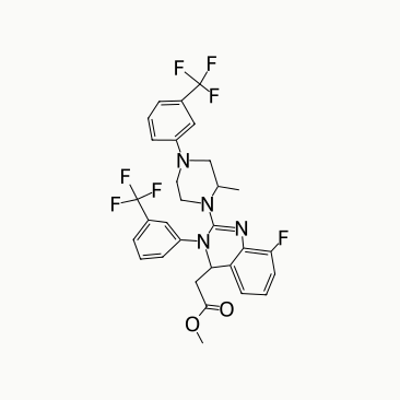 COC(=O)CC1c2cccc(F)c2N=C(N2CCN(c3cccc(C(F)(F)F)c3)CC2C)N1c1cccc(C(F)(F)F)c1